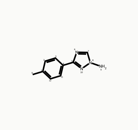 Cc1ccc(-c2ncn(N)n2)cc1